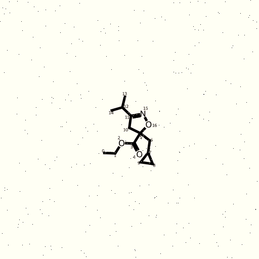 CCOC(=O)C1(CC2CC2)CC(C(C)C)=NO1